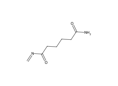 C=NC(=O)CCCCC(N)=O